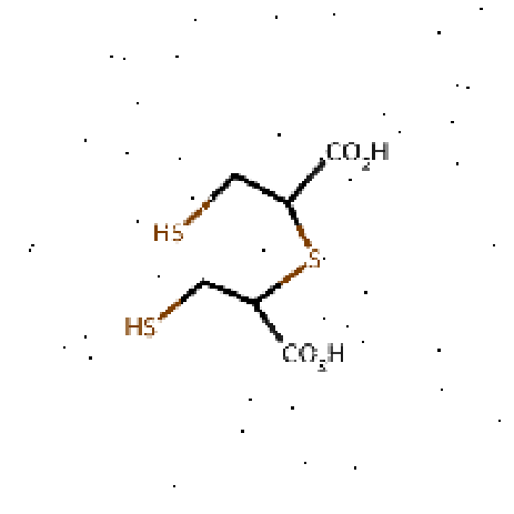 O=C(O)C(CS)SC(CS)C(=O)O